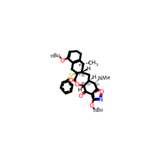 CCCCOC1=CCCC2=C1C[C@@]1(Sc3ccccc3)C(=O)O[C@H]3C(=O)c4c(OCCCC)noc4[C@@H](NC)[C@@H]3C[C@H]1[C@H]2C